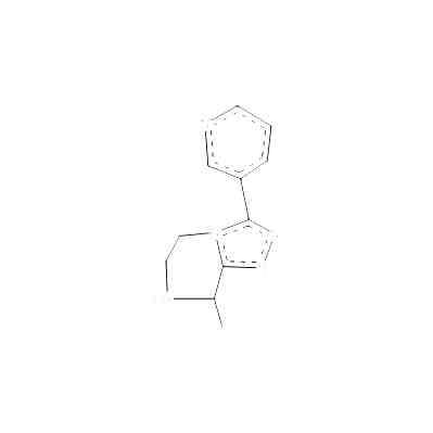 CC1NCCn2c(-c3cccnc3)nnc21